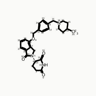 O=C1CC[C@H](N2Cc3c(OCc4ccc(CN5CCC(C(F)(F)F)CC5)cc4)cccc3C2=O)C(=O)N1